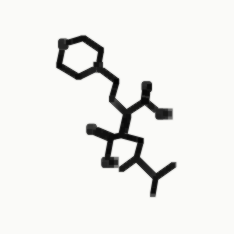 CC(C)C(C)CC(C(=O)O)=C(CCN1CCOCC1)C(=O)O